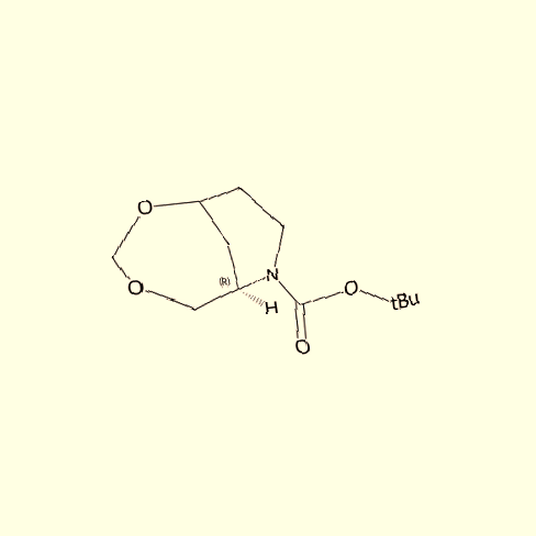 CC(C)(C)OC(=O)N1CCC2C[C@@H]1COCO2